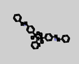 O=S(=O)(c1ccc(/N=N/c2ccccc2)cc1)N(c1ccccn1)S(=O)(=O)c1ccc(/N=N/c2ccccc2)cc1